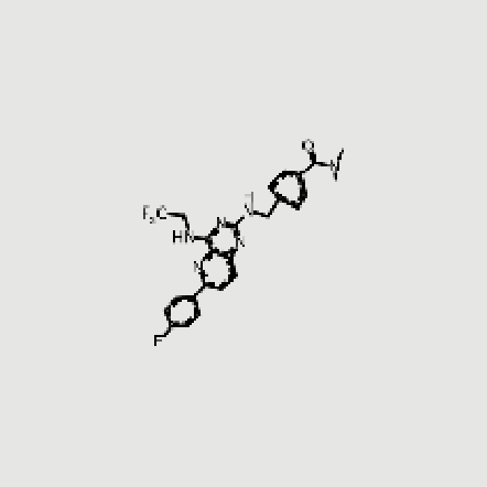 CN(C)C(=O)c1ccc(CNc2nc(NCC(F)(F)F)c3nc(-c4ccc(F)cc4)ccc3n2)cc1